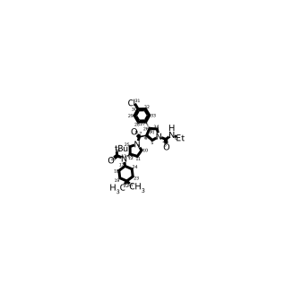 CCNC(=O)N1C[C@@H](C(=O)N2CC[C@H](N(C(=O)C(C)(C)C)C3CCC(C)(C)CC3)C2)[C@H](c2ccc(Cl)cc2)C1